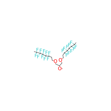 COC(COCCC(F)(F)C(F)(F)C(F)(F)C(F)(F)C(C)(F)F)COCCC(F)(F)C(F)(F)C(F)(F)C(F)(F)C(C)(F)F